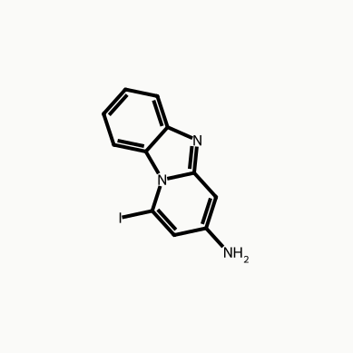 Nc1cc(I)n2c(c1)nc1ccccc12